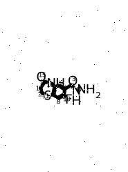 NNC(=O)c1cc2c(cc1F)SCCC(=O)N2